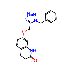 O=C1CCc2ccc(OCc3nnnn3Cc3ccccc3)cc2N1